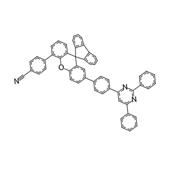 N#Cc1ccc(-c2cccc3c2Oc2ccc(-c4ccc(-c5cc(-c6ccccc6)nc(-c6ccccc6)n5)cc4)cc2C32c3ccccc3-c3ccccc32)cc1